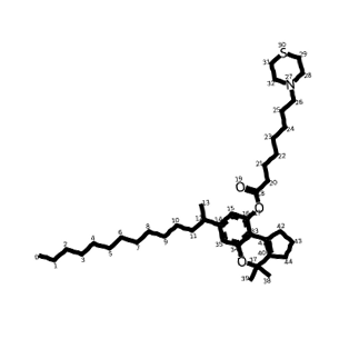 CCCCCCCCCCCCC(C)c1cc(OC(=O)CCCCCCCN2CCSCC2)c2c(c1)OC(C)(C)C1=C2CCC1